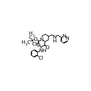 CC(C)(C)OC(=O)N1CCC(CNCc2cccnn2)CC1C(=O)CNc1ccccc1Cl